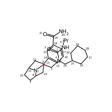 CC(C)NC(=O)N(CCN1C2CCC1CC(c1cccc(C(N)=O)c1)C2)CC1CCCCC1